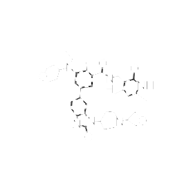 CCN(c1cc(-c2ccc3c(c2)n(C2CCN(C4COC4)CC2)c(=O)n3C)cc(C(=O)NCc2c(C)cc(C)[nH]c2=O)c1C)C1CCOCC1